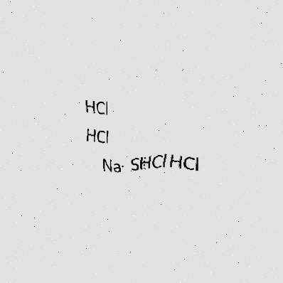 Cl.Cl.Cl.Cl.[Na].[Si]